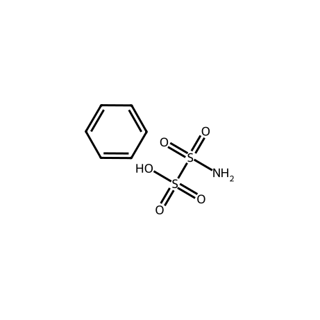 NS(=O)(=O)S(=O)(=O)O.c1ccccc1